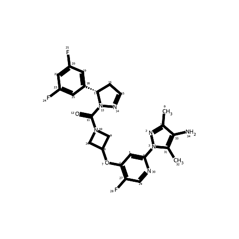 Cc1nn(-c2cc(OC3CN(C(=O)N4N=CC[C@H]4c4cc(F)cc(F)c4)C3)c(F)cn2)c(C)c1N